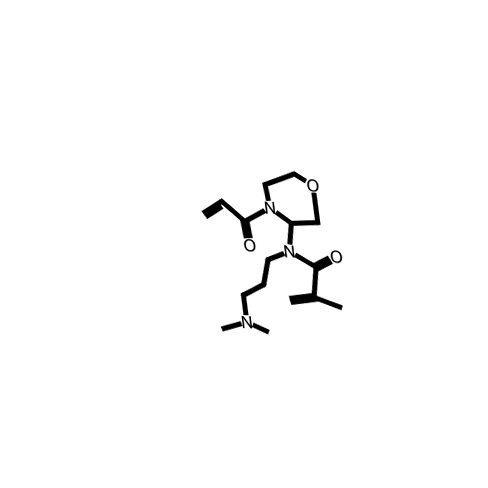 C=CC(=O)N1CCOCC1N(CCCN(C)C)C(=O)C(=C)C